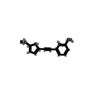 Cc1cccc(C#Cc2ccc(C)s2)n1